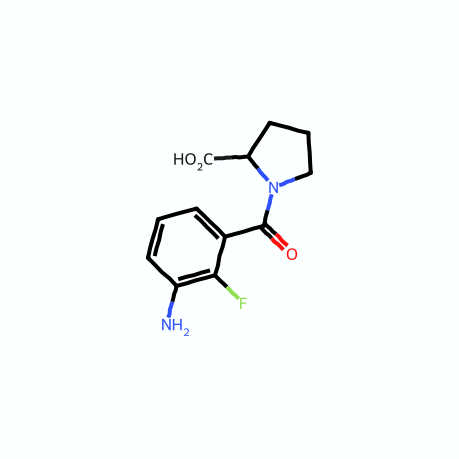 Nc1cccc(C(=O)N2CCCC2C(=O)O)c1F